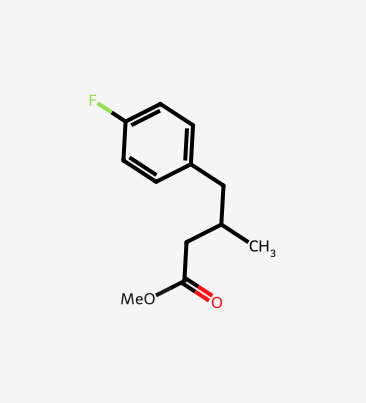 COC(=O)CC(C)Cc1ccc(F)cc1